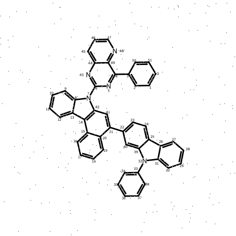 c1ccc(-c2nc(-n3c4ccccc4c4c5ccccc5c(-c5ccc6c7ccccc7n(-c7ccccc7)c6c5)cc43)nc3cccnc23)cc1